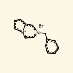 [Br-].c1ccc(Cn2cc[n+]3cccc-3c2)cc1